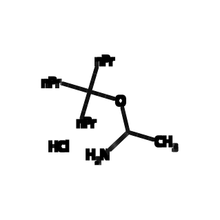 CCCC(CCC)(CCC)OC(C)N.Cl